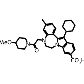 COC1CCN(C(=O)CN2CCn3c(c(C4CCCCC4)c4ccc(C(=O)O)cc43)-c3ccc(C)cc32)CC1